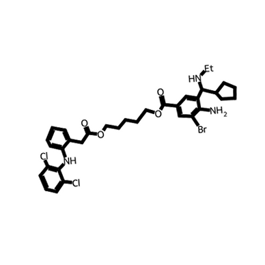 CCNC(c1cc(C(=O)OCCCCCOC(=O)Cc2ccccc2Nc2c(Cl)cccc2Cl)cc(Br)c1N)C1CCCC1